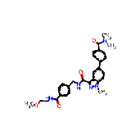 COCCNC(=O)c1ccc(CNC(=O)c2nn(C)c3ccc(-c4ccc(C(=O)N(C)C)cc4)cc23)cc1